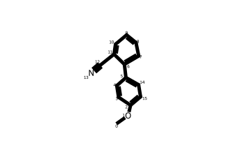 COc1ccc(-c2ccccc2C#N)cc1